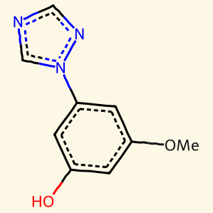 COc1cc(O)cc(-n2cncn2)c1